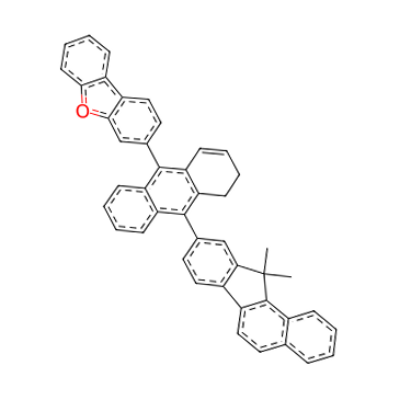 CC1(C)c2cc(-c3c4c(c(-c5ccc6c(c5)oc5ccccc56)c5ccccc35)C=CCC4)ccc2-c2ccc3ccccc3c21